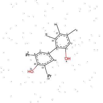 Cc1cc(O)c(-c2cc(C(C)C)c(O)c(C(C)C)c2)c(C)c1C